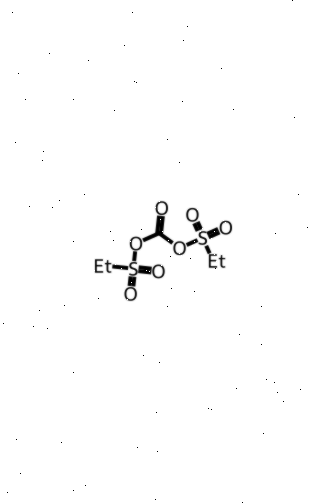 CCS(=O)(=O)OC(=O)OS(=O)(=O)CC